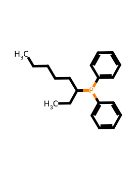 CCCCCC(CC)P(c1ccccc1)c1ccccc1